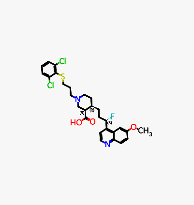 COc1ccc2nccc([C@@H](F)CC[C@@H]3CCN(CCCSc4c(Cl)cccc4Cl)C[C@@H]3C(=O)O)c2c1